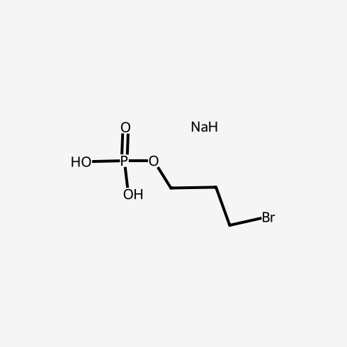 O=P(O)(O)OCCCBr.[NaH]